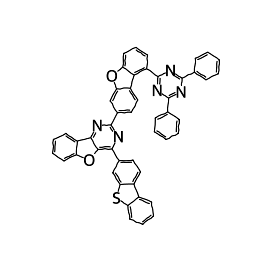 c1ccc(-c2nc(-c3ccccc3)nc(-c3cccc4oc5cc(-c6nc(-c7ccc8c(c7)sc7ccccc78)c7oc8ccccc8c7n6)ccc5c34)n2)cc1